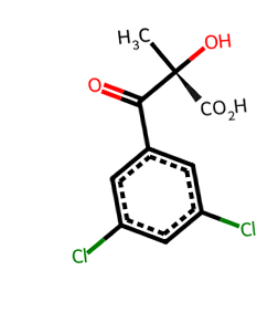 C[C@@](O)(C(=O)O)C(=O)c1cc(Cl)cc(Cl)c1